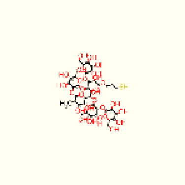 CC1[C@H](OC2[C@H](O[C@@H]3C(CO[C@@H]4OC(CO)[C@@H](O)[C@H](O)C4O[C@@H]4OC(CO)[C@@H](O)[C@H](O)C4O)O[C@H](OCCCS)C(O)[C@H]3O[C@@H]3OC(CO)[C@@H](O)[C@H](O)C3O)OC(CO)[C@@H](O)[C@@H]2O)OC(CO)[C@@H](O)[C@@H]1O